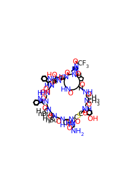 CCCC[C@H]1C(=O)N(C)[C@@H](CCCC)C(=O)N[C@@H](C)C(=O)N[C@H](C(=O)NCC(N)=O)CSCC(=O)N[C@@H](Cc2ccc(O)cc2)C(=O)N(C)[C@@H](C)C(=O)N[C@@H]2CCC(=O)NCCC[C@@H](NC(=O)[C@H](Cc3cn(C(=O)C(F)(F)F)cn3)NC(=O)[C@@H]3CCCC3C2=O)C(=O)N2C[C@H](O)C[C@H]2C(=O)N[C@@H](Cc2c[nH]c3ccccc23)C(=O)N[C@@H](CO)C(=O)N[C@@H](Cc2c[nH]c3ccccc23)C(=O)N1C